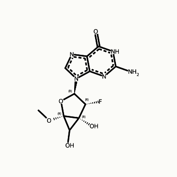 CO[C@]12O[C@@H](n3cnc4c(=O)[nH]c(N)nc43)[C@H](F)[C@@]1(O)C2O